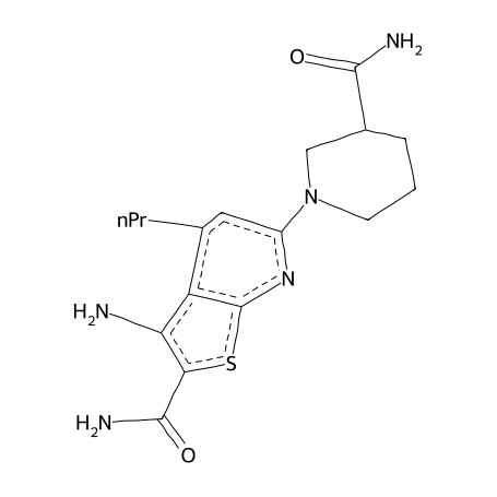 CCCc1cc(N2CCCC(C(N)=O)C2)nc2sc(C(N)=O)c(N)c12